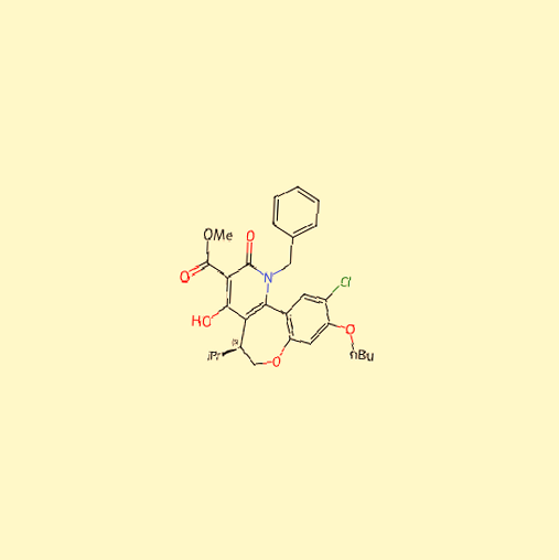 CCCCOc1cc2c(cc1Cl)-c1c(c(O)c(C(=O)OC)c(=O)n1Cc1ccccc1)[C@H](C(C)C)CO2